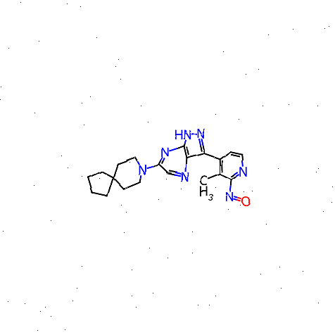 Cc1c(-c2n[nH]c3nc(N4CCC5(CCCC5)CC4)cnc23)ccnc1N=O